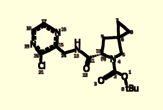 CC(C)(C)OC(=O)N1CC2(CC2)C[C@H]1C(=O)NCc1nccnc1Cl